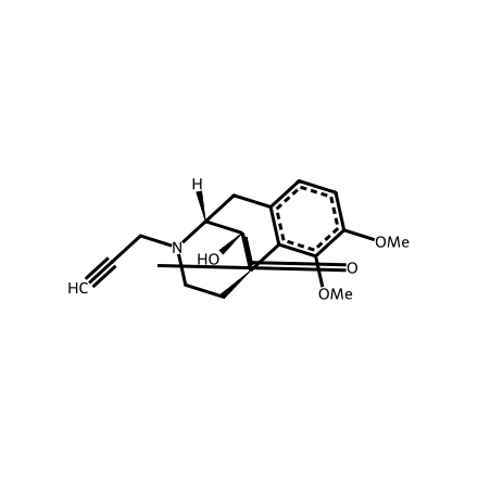 C#CCN1CC[C@]23CC(=O)CC[C@@]2(O)[C@H]1Cc1ccc(OC)c(OC)c13